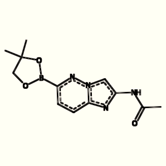 CC(=O)Nc1cn2nc(B3OCC(C)(C)O3)ccc2n1